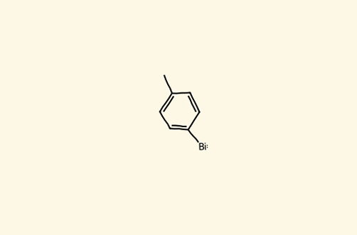 Cc1cc[c]([Bi])cc1